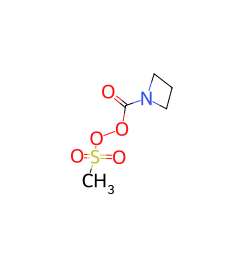 CS(=O)(=O)OOC(=O)N1CCC1